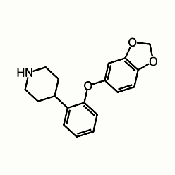 c1ccc(C2CCNCC2)c(Oc2ccc3c(c2)OCO3)c1